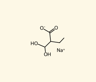 CCC(C(=O)[O-])C(O)O.[Na+]